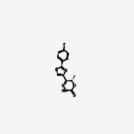 C[C@@H]1OC(=O)NN=C1c1csc(-c2ccc(F)cc2)n1